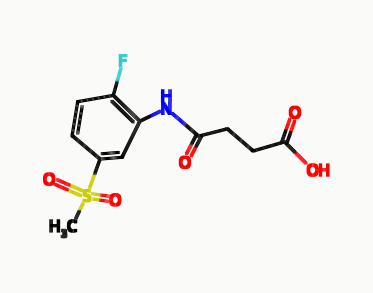 CS(=O)(=O)c1ccc(F)c(NC(=O)CCC(=O)O)c1